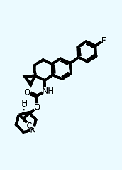 O=C(NC1c2ccc(-c3ccc(F)cc3)cc2CCC12CC2)O[C@H]1CN2CCC1CC2